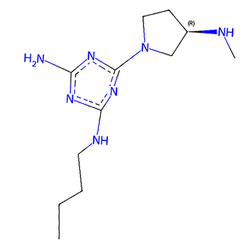 CCCCNc1nc(N)nc(N2CC[C@@H](NC)C2)n1